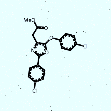 COC(=O)Cc1nc(-c2ccc(Cl)cc2)oc1Oc1ccc(Cl)cc1